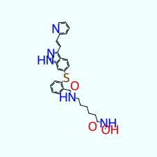 O=C(CCCCCNC(=O)c1ccccc1Sc1ccc2c(/C=C/c3ccccn3)n[nH]c2c1)NO